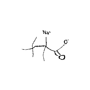 CC(C)(C)C(C)(C)C(=O)[O-].[Na+]